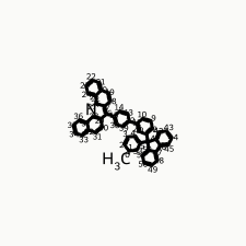 CC1C=CC=C(C2(c3cccc(-c4ccc(-c5c6ccc7ccccc7c6nc6c5ccc5ccccc56)cc4)c3)c3ccccc3-c3ccccc32)C1